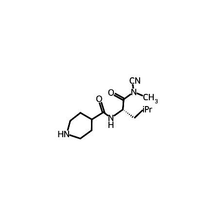 CC(C)C[C@H](NC(=O)C1CCNCC1)C(=O)N(C)C#N